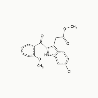 COC(=O)Cc1c(C(=O)c2ccccc2OC)[nH]c2cc(Cl)ccc12